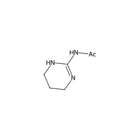 CC(=O)NC1=NCCCN1